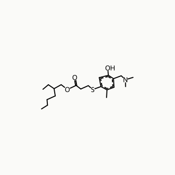 CCCCC(CC)COC(=O)CCSc1cc(O)c(CN(C)C)cc1C